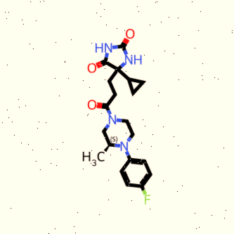 C[C@H]1CN(C(=O)CCC2(C3CC3)NC(=O)NC2=O)CCN1c1ccc(F)cc1